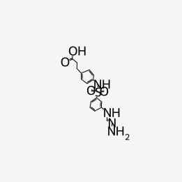 NN=CNc1cccc(S(=O)(=O)Nc2ccc(CCC(=O)O)cc2)c1